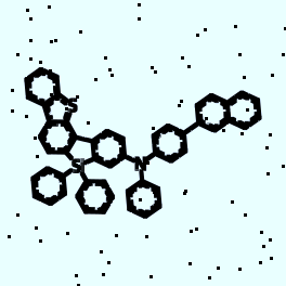 c1ccc(N(c2ccc(-c3ccc4ccccc4c3)cc2)c2ccc3c(c2)[Si](c2ccccc2)(c2ccccc2)c2ccc4c(sc5ccccc54)c2-3)cc1